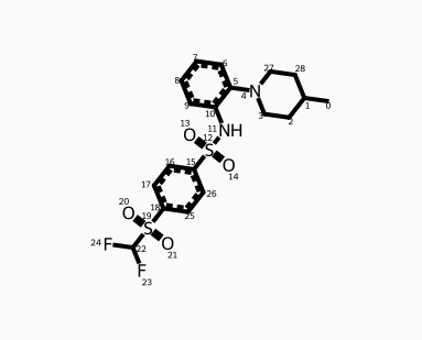 CC1CCN(c2ccccc2NS(=O)(=O)c2ccc(S(=O)(=O)C(F)F)cc2)CC1